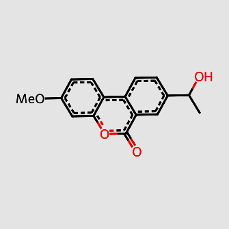 COc1ccc2c(c1)oc(=O)c1cc(C(C)O)ccc12